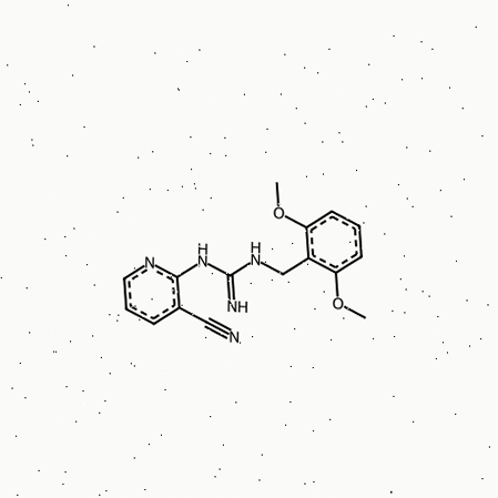 COc1cccc(OC)c1CNC(=N)Nc1ncccc1C#N